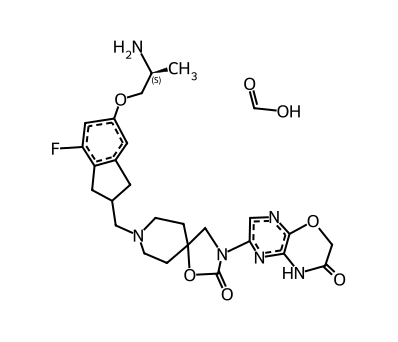 C[C@H](N)COc1cc(F)c2c(c1)CC(CN1CCC3(CC1)CN(c1cnc4c(n1)NC(=O)CO4)C(=O)O3)C2.O=CO